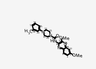 COc1ccc2nc(NC(=O)N3CCN(c4cccc(C)c4)CC3)c(OC)nc2c1